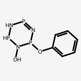 On1[pH][nH]pnp1Oc1ccccc1